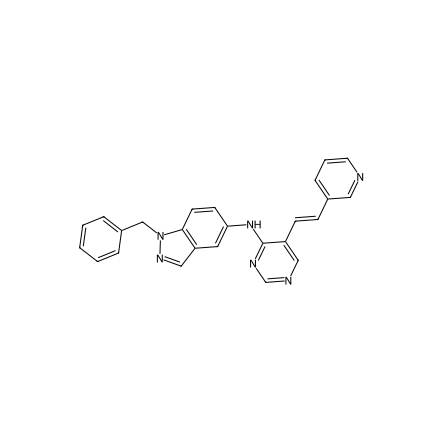 C(=C\c1cncnc1Nc1ccc2c(cnn2Cc2ccccc2)c1)/c1cccnc1